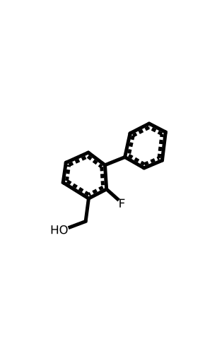 OCc1cccc(-c2ccccc2)c1F